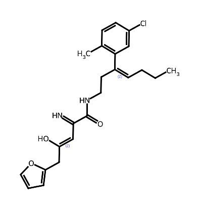 CCC/C=C(/CCNC(=O)C(=N)/C=C(\O)Cc1ccco1)c1cc(Cl)ccc1C